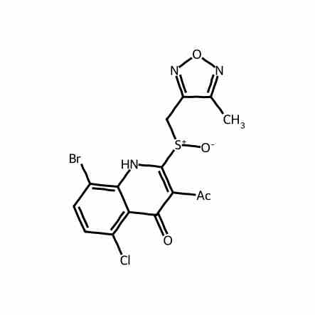 CC(=O)c1c([S+]([O-])Cc2nonc2C)[nH]c2c(Br)ccc(Cl)c2c1=O